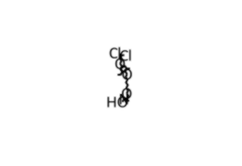 CCc1cc(OCC=C(Cl)Cl)cc(C)c1OCCCCCCOCC(C)=NO